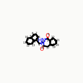 O=C1NN(Cc2cccc3ccccc23)C(=O)Cc2ccccc21